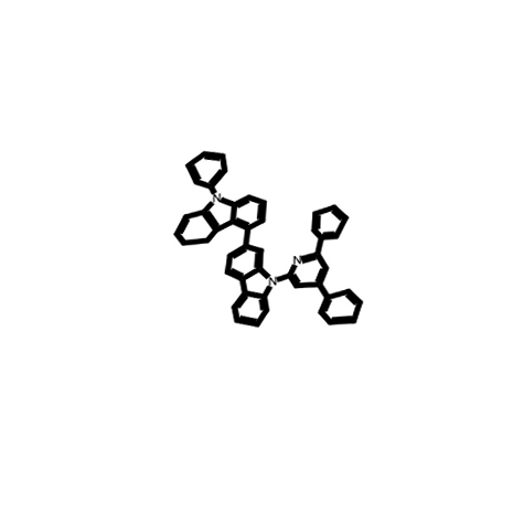 C1=Cc2c(c3c(-c4ccc5c6ccccc6n(-c6cc(-c7ccccc7)cc(-c7ccccc7)n6)c5c4)cccc3n2-c2ccccc2)CC1